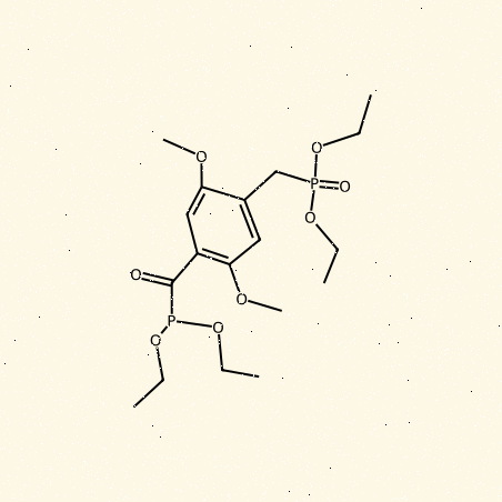 CCOP(OCC)C(=O)c1cc(OC)c(CP(=O)(OCC)OCC)cc1OC